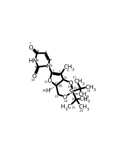 CC1=C(n2ccc(=O)[nH]c2=O)O[C@@H]2CO[Si](C(C)(C)C)(C(C)(C)C)OC12